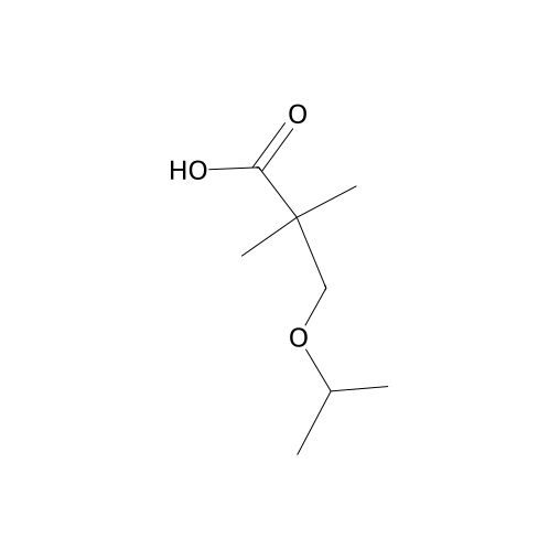 CC(C)OCC(C)(C)C(=O)O